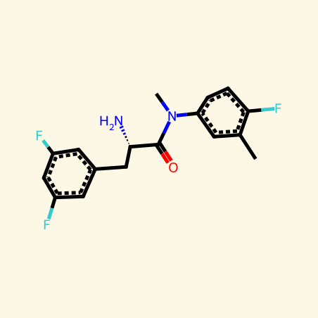 Cc1cc(N(C)C(=O)[C@@H](N)Cc2cc(F)cc(F)c2)ccc1F